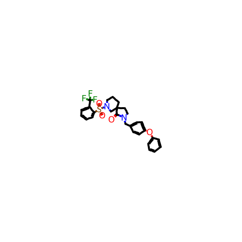 O=C1N(Cc2ccc(Oc3ccccc3)cc2)CCC12CCCN(S(=O)(=O)c1ccccc1C(F)(F)F)C2